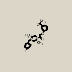 C[C@@H]1CN(Cc2ccc(F)cc2)[C@@H](C)CN1C(=O)COc1cccc(C(N)=O)c1